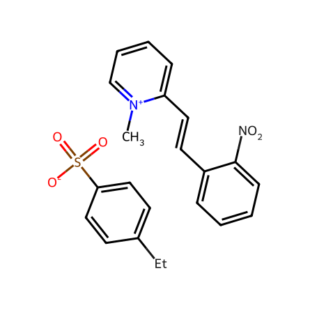 CCc1ccc(S(=O)(=O)[O-])cc1.C[n+]1ccccc1C=Cc1ccccc1[N+](=O)[O-]